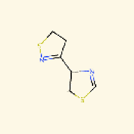 [CH]1SC=NC1C1=NSCC1